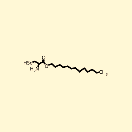 CCCCCCCCCCCCCOC(=O)C(N)C[SeH]